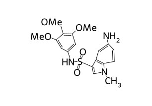 COc1cc(NS(=O)(=O)c2cn(C)c3ccc(N)cc23)cc(OC)c1OC